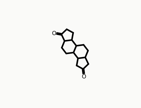 O=C1CC2CCC3C4CCC(=O)C4CCC3C2C1